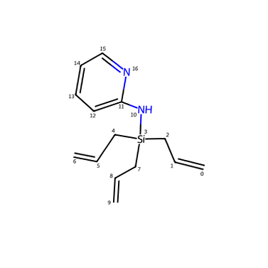 C=CC[Si](CC=C)(CC=C)Nc1ccccn1